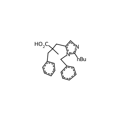 CCCCc1ncc(CC(C)(Cc2ccccc2)C(=O)O)n1Cc1ccccc1